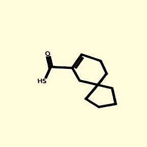 O=C(S)C1=CCCC2(CCCC2)C1